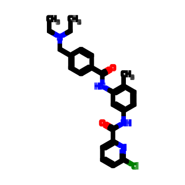 CCN(CC)Cc1ccc(C(=O)Nc2cc(NC(=O)c3cccc(Cl)n3)ccc2C)cc1